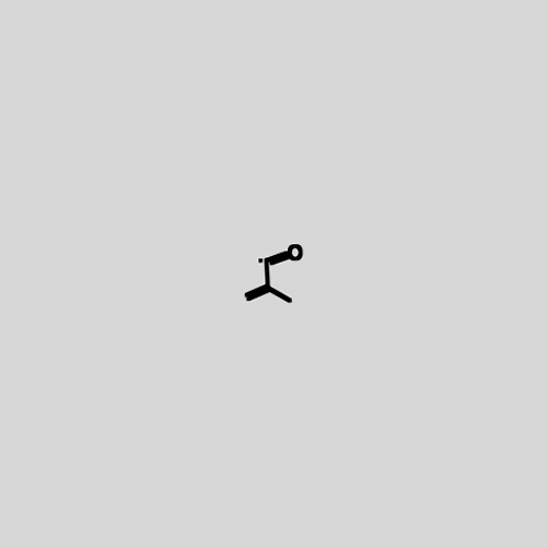 C=C(C)[C]=O